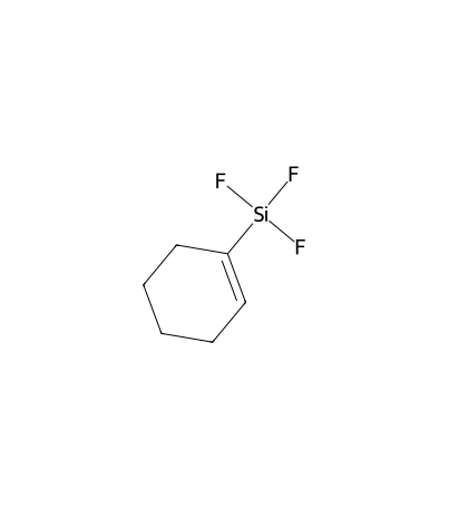 F[Si](F)(F)C1=CCCCC1